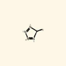 [CH2]C1N=NN=N1